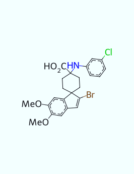 COc1cc2c(cc1OC)C1(CCC(Nc3cccc(Cl)c3)(C(=O)O)CC1)C(Br)=C2